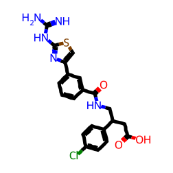 N=C(N)Nc1nc(-c2cccc(C(=O)NCC(CC(=O)O)c3ccc(Cl)cc3)c2)cs1